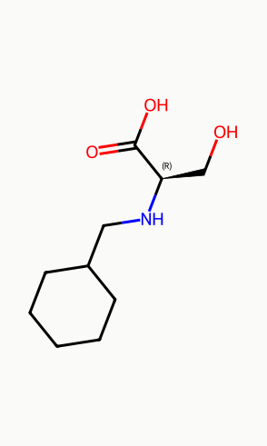 O=C(O)[C@@H](CO)NCC1CCCCC1